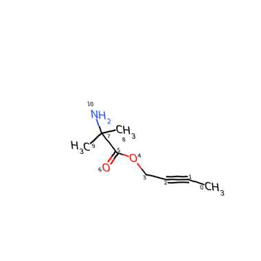 CC#CCOC(=O)C(C)(C)N